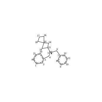 c1ccc(CN(Cc2ccccc2)C2CC3(CCC3)C2)cc1